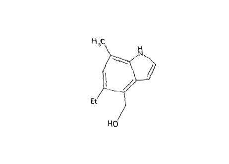 CCc1cc(C)c2[nH]ccc2c1CO